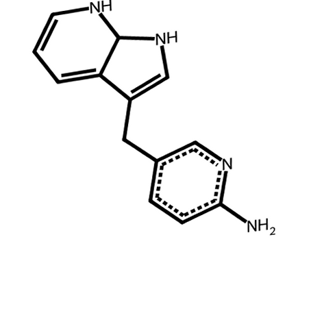 Nc1ccc(CC2=CNC3NC=CC=C23)cn1